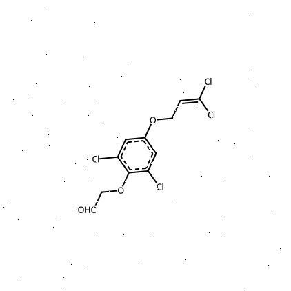 O=[C]COc1c(Cl)cc(OCC=C(Cl)Cl)cc1Cl